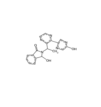 CC(c1nccnc1-c1cnc(O)cn1)N1C(=O)c2ccccc2C1O